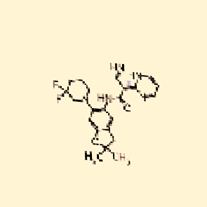 CC1(C)Cc2cc(NC(=O)/C(C=N)=C3\N=CC=CN3)c(N3CCCC(F)(F)C3)cc2O1